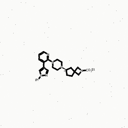 CCOC(=O)N1CC2(CC[C@@H](N3CCN(c4ncccc4-c4cnn(C(C)C)c4)CC3)C2)C1